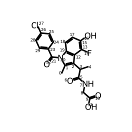 Cc1c(C(C)C(=O)NCC(=O)O)c2c(F)c(O)ccc2n1C(=O)c1ccc(Cl)cc1